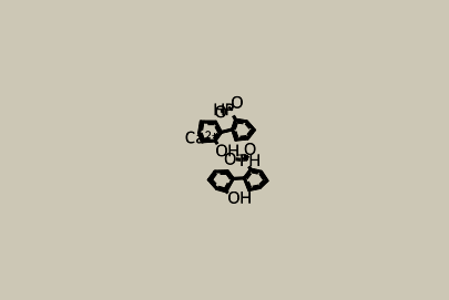 O=[PH]([O-])c1ccccc1-c1ccccc1O.O=[PH]([O-])c1ccccc1-c1ccccc1O.[Ca+2]